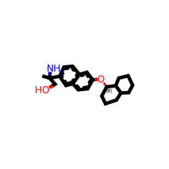 CC(N)(CO)c1ccc2cc(O[C@@H]3CCCC4CCCCC43)ccc2c1